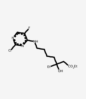 CCOC(=O)CC(O)(CC)CCCCNc1nc(Cl)ncc1F